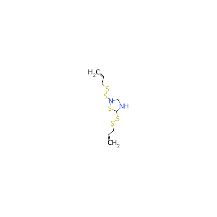 C=CCSSC1NCN(SSCC=C)S1